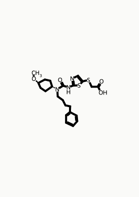 CO[C@H]1CC[C@H](N(CCCCc2ccccc2)C(=O)Nc2ncc(SCC(=O)O)s2)CC1